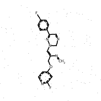 C=N/C(=C\N1CN=CC(c2ccc(F)cc2)=N1)COc1ccnc(F)c1